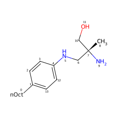 CCCCCCCCc1ccc(NC[C@@](C)(N)CO)cc1